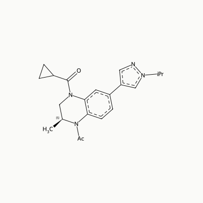 CC(=O)N1c2ccc(-c3cnn(C(C)C)c3)cc2N(C(=O)C2CC2)C[C@@H]1C